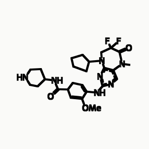 COC1=CC(C(=O)NC2CCNCC2)CC=C1Nc1ncc2c(n1)N(C1CCCC1)CC(F)(F)C(=O)N2C